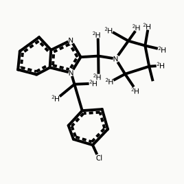 [2H]C([2H])(c1nc2ccccc2n1C([2H])([2H])c1ccc(Cl)cc1)N1C([2H])([2H])C([2H])([2H])C([2H])(C)C1([2H])[2H]